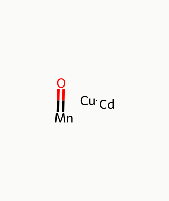 [Cd].[Cu].[O]=[Mn]